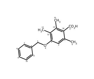 Cc1cc(OCc2ccccc2)c(C)c(C)c1C(=O)O